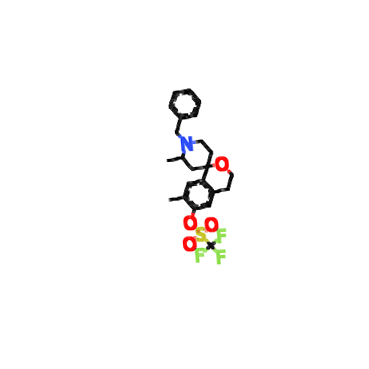 Cc1cc2c(cc1OS(=O)(=O)C(F)(F)F)CCOC21CCN(Cc2ccccc2)C(C)C1